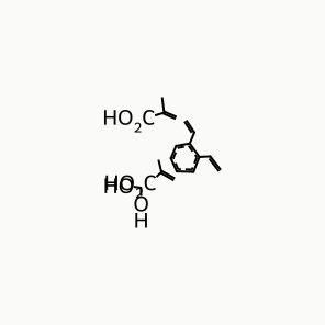 C=C(C)C(=O)O.C=C(C)C(=O)O.C=Cc1ccccc1C=C.OCO